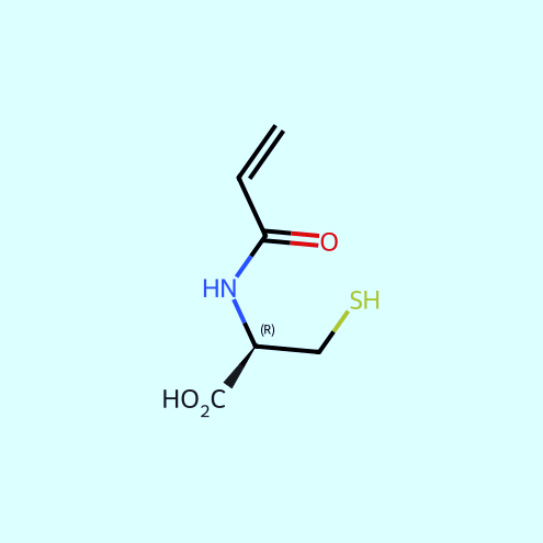 C=CC(=O)N[C@@H](CS)C(=O)O